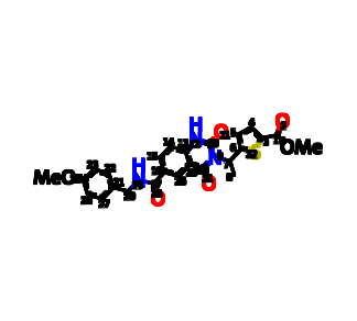 COC(=O)c1ccc(C(C)n2c(=O)[nH]c3ccc(C(=O)NCc4ccc(OC)cc4)cc3c2=O)s1